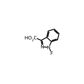 O=C(O)c1nn(F)c2ccccc12